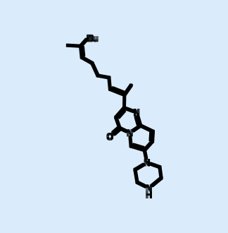 CCC(C)/C(C)=C\CCC/C=C(\C)c1cc(=O)n2cc(N3CCNCC3)ccc2n1